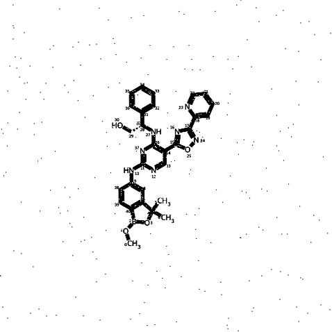 COB1OC(C)(C)c2cc(Nc3ncc(-c4nc(-c5ccccn5)no4)c(N[C@H](CO)c4ccccc4)n3)ccc21